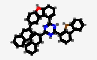 C1=C(c2nc(-c3ccc4ccccc4c3)nc(-c3cccc4c3sc3ccccc34)n2)c2c(oc3ccc(-c4ccc5ccccc5c4)cc23)CC1